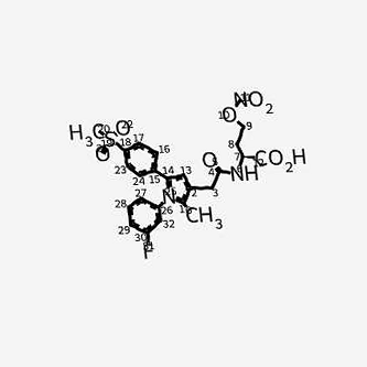 Cc1c(CC(=O)N[C@@H](CCO[N+](=O)[O-])C(=O)O)cc(-c2ccc(S(C)(=O)=O)cc2)n1-c1cccc(F)c1